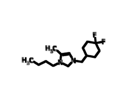 CCCCN1CN(CC2CCC(F)(F)CC2)C=C1C